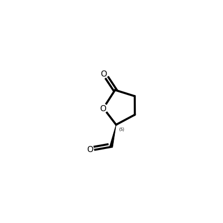 O=C[C@@H]1CCC(=O)O1